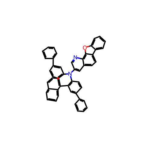 c1ccc(-c2cccc(N(c3cnc4c(ccc5c6ccccc6oc54)c3)c3ccc(-c4ccccc4)cc3-c3cccc4ccccc34)c2)cc1